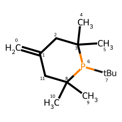 C=C1CC(C)(C)P(C(C)(C)C)C(C)(C)C1